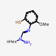 CCCCCCN(N)/C=N/c1c(S)cccc1OC